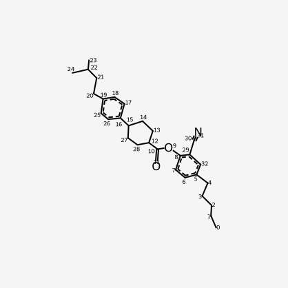 CCCCCc1ccc(OC(=O)C2CCC(c3ccc(CCC(C)C)cc3)CC2)c(C#N)c1